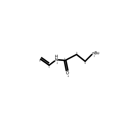 C=CNC(=O)CCCCCC